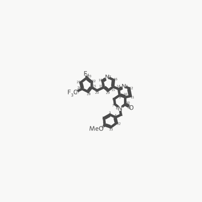 COc1ccc(CN2CCc3c(ccnc3-c3cncc(Cc4cc(F)cc(C(F)(F)F)c4)c3)C2=O)cc1